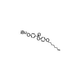 C=CCCCCCCOc1ccc(OC(=O)c2ccc(OC[C@@H](C)CC)cc2)cc1